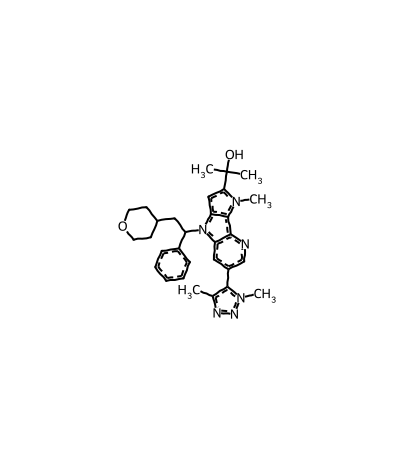 Cc1nnn(C)c1-c1cnc2c3c(cc(C(C)(C)O)n3C)n(C(CC3CCOCC3)c3ccccc3)c2c1